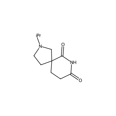 CC(C)N1CCC2(CCC(=O)NC2=O)C1